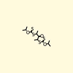 CC(C)OC(=S)SC(C)C(=O)C(C)SC(=S)OC(C)C